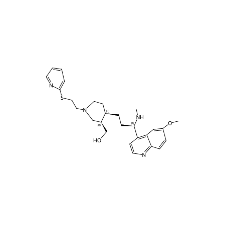 CN[C@H](CC[C@@H]1CCN(CCSc2ccccn2)C[C@@H]1CO)c1ccnc2ccc(OC)cc12